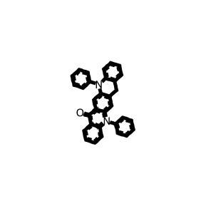 O=c1c2ccccc2n(-c2ccccc2)c2cc3c(cc12)N(c1ccccc1)c1ccccc1C3